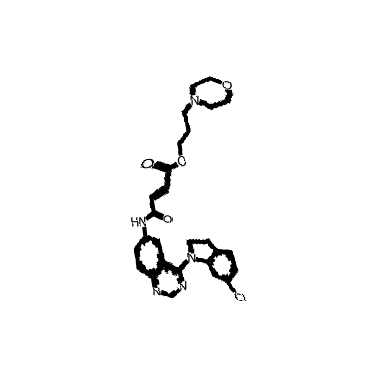 O=C(C=CC(=O)OCCCN1CCOCC1)Nc1ccc2ncnc(N3CCc4ccc(Cl)cc43)c2c1